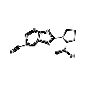 N#Cc1cnc2nc(N3CCC[C@@H]3C(=O)O)sc2c1